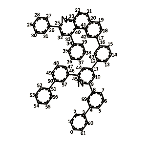 c1ccc(-c2cccc(-c3cc(-c4cccc(-c5ccc6ccc7nc(-c8ccccc8)cc(-c8ccccc8)c7c6c5)c4)cc(-c4cccc(-c5ccccc5)c4)n3)c2)cc1